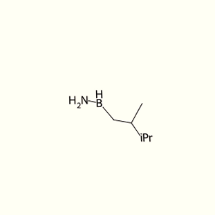 CC(C)C(C)CBN